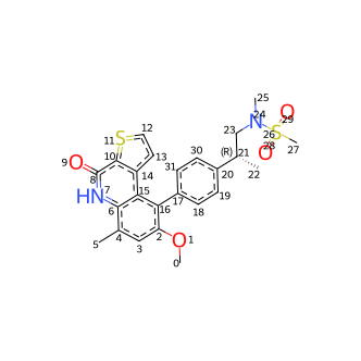 COc1cc(C)c2[nH]c(=O)c3sccc3c2c1-c1ccc([C@@H](C)CN(C)S(C)(=O)=O)cc1